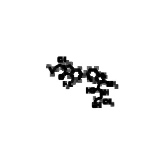 C[C@H](CO)NC(O)c1c(N)nn2ccc(-c3cc4c(c(C(F)(F)F)c3)C(=O)N([C@@H](C)C3CC3)C4)nc12